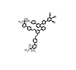 CC(C)(C)c1ccnc(-c2ccc(CCc3cc(CCc4ccc(-c5cc(C(C)(C)C)ccn5)cc4)cc(-c4ccccc4-c4ccc(-c5ccccn5)cc4-c4ccc(-c5cc(C#N)c(C#N)c(C#N)c5)cc4)c3)cc2)c1